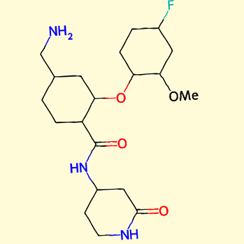 COC1CC(F)CCC1OC1CC(CN)CCC1C(=O)NC1CCNC(=O)C1